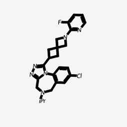 CC(C)N1Cc2cc(Cl)ccc2-n2c(nnc2C2CC3(C2)CN(c2ncccc2F)C3)C1